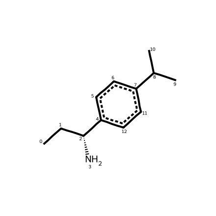 CC[C@@H](N)c1ccc(C(C)C)cc1